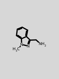 Cn1nc(CN)c2ccccc21